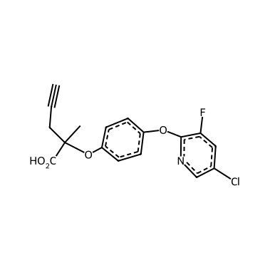 C#CCC(C)(Oc1ccc(Oc2ncc(Cl)cc2F)cc1)C(=O)O